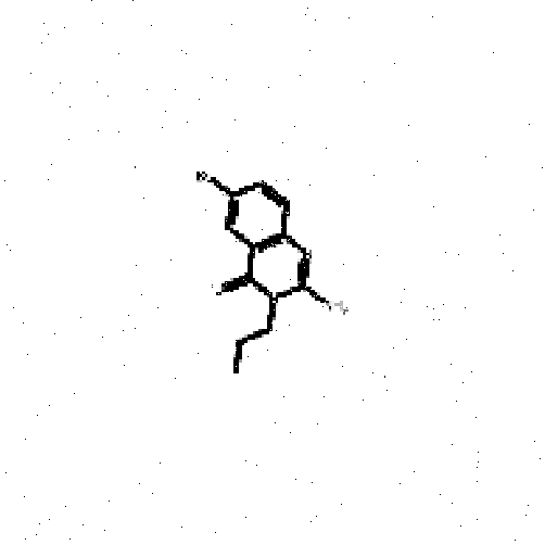 CCCn1c(N)nc2ccc(Br)cc2c1=O